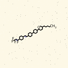 CCCCCC1CCC(C2CCC(C3CCC(/C=C/C4CCC(/C(F)=C/C(F)(F)F)CC4)CC3)CC2)OC1